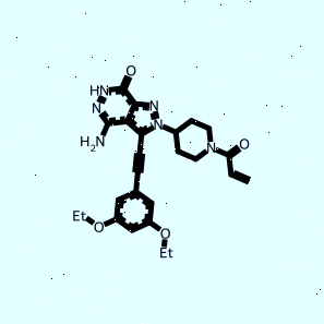 C=CC(=O)N1CCC(n2nc3c(=O)[nH]nc(N)c3c2C#Cc2cc(OCC)cc(OCC)c2)CC1